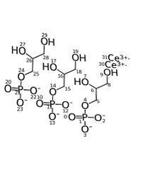 O=P([O-])([O-])OCC(O)CO.O=P([O-])([O-])OCC(O)CO.O=P([O-])([O-])OCC(O)CO.[Ce+3].[Ce+3]